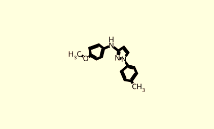 COc1ccc(Nc2ccn(-c3ccc(C)cc3)n2)cc1